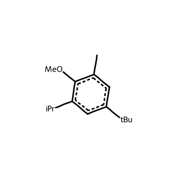 COc1c(C)cc(C(C)(C)C)cc1C(C)C